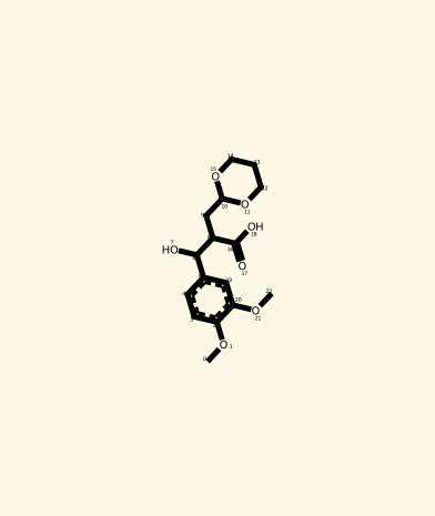 COc1ccc(C(O)C(CC2OCCCO2)C(=O)O)cc1OC